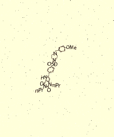 CCCn1c(=O)c2[nH]c(-c3ccc(S(=O)(=O)N4CCN(Cc5ccc(OC)cc5)CC4)cc3)cc2n(CCC)c1=O